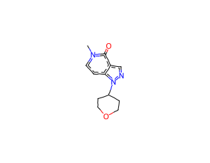 Cn1ccc2c(cnn2C2CCOCC2)c1=O